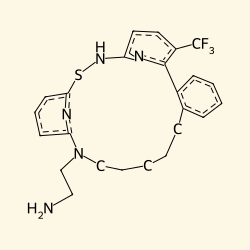 NCCN1CCCCCc2ccccc2-c2nc(ccc2C(F)(F)F)NSc2cccc1n2